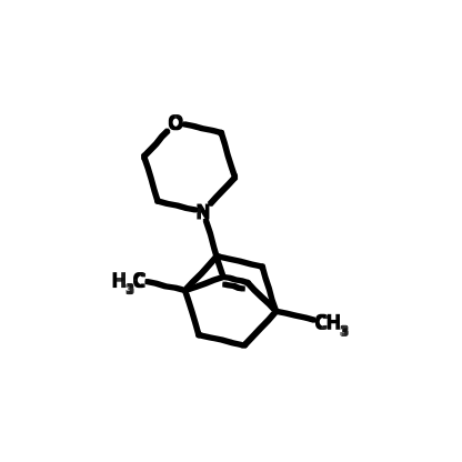 CC12C=C(N3CCOCC3)C(C)(CC1)CC2